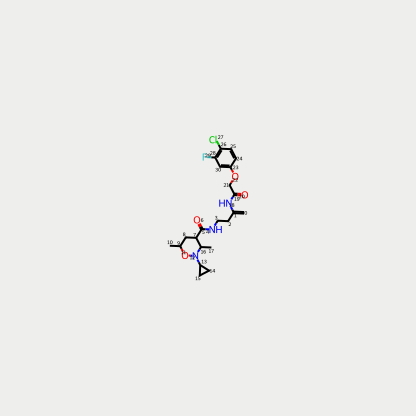 C=C(CCNC(=O)C1CC(C)ON(C2CC2)C1C)NC(=O)COc1ccc(Cl)c(F)c1